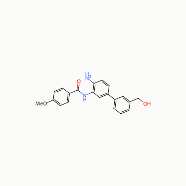 COc1ccc(C(=O)Nc2cc(-c3cccc(CO)c3)ccc2N)cc1